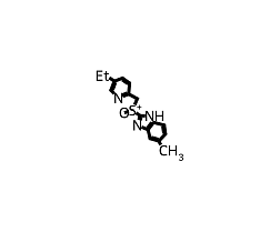 CCc1ccc(C[S+]([O-])c2nc3cc(C)ccc3[nH]2)nc1